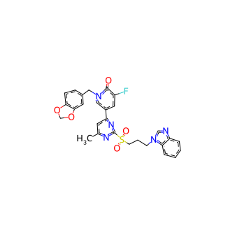 Cc1cc(-c2cc(F)c(=O)n(Cc3ccc4c(c3)OCO4)c2)nc(S(=O)(=O)CCCn2cnc3ccccc32)n1